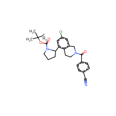 CC(C)(C)OC(=O)N1CCCC1c1cc(Cl)cc2c1CCN(C(=O)c1ccc(C#N)cc1)C2